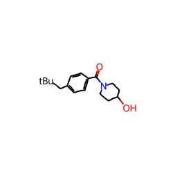 CC(C)(C)Cc1ccc(C(=O)N2CCC(O)CC2)cc1